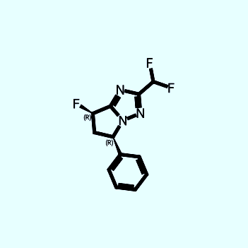 FC(F)c1nc2n(n1)[C@@H](c1ccccc1)C[C@H]2F